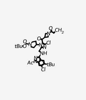 C=CC(=O)N1CC(C(=O)c2c(Cl)nc(CNc3nn(C(C)=O)c4cc(Cl)c(C(C)(C)C)cc34)n2C2CCN(C(=O)OC(C)(C)C)CC2)C1